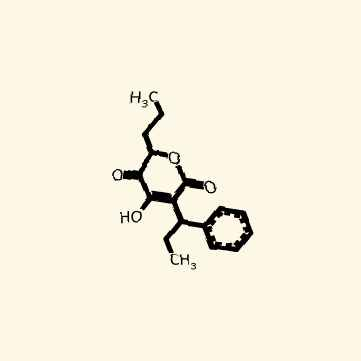 CCCC1OC(=O)C(C(CC)c2ccccc2)=C(O)C1=O